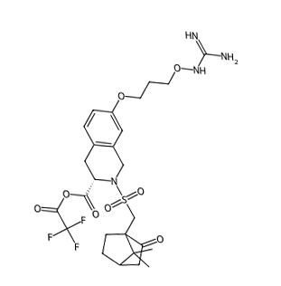 CC1(C)C2CCC1(CS(=O)(=O)N1Cc3cc(OCCCONC(=N)N)ccc3C[C@H]1C(=O)OC(=O)C(F)(F)F)C(=O)C2